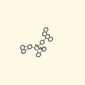 C1=C(c2ccc3c(c2)-c2cccc4cccc-3c24)N=C(c2ccc(-c3c4ccccc4cc4c3ccc3ccccc34)cc2)NC1c1ccccc1-c1ccccc1